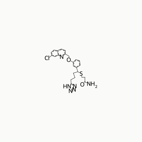 NC(=O)CCSC(CCCc1nnn[nH]1)c1cccc(OCc2ccc3ccc(Cl)cc3n2)c1